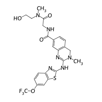 CN(CCO)C(=O)CNC(=O)c1ccc2c(c1)N=C(Nc1nc3ccc(OC(F)(F)F)cc3s1)N(C)C2